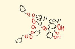 O=C(COCc1ccccc1)Oc1cccc2c1C(=O)c1c(OC(=O)COCc3ccccc3)cc(C(=O)O)cc1C2=O.O=C(O)c1cc(O)c2c(c1)C(=O)c1cccc(O)c1C2=O